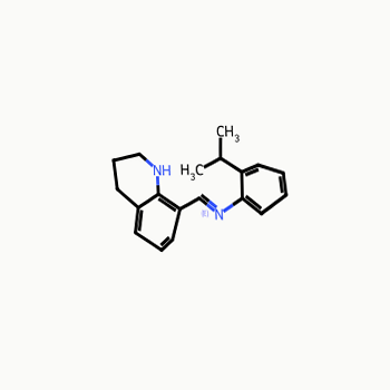 CC(C)c1ccccc1/N=C/c1cccc2c1NCCC2